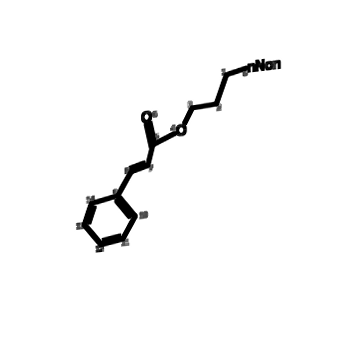 CCCCCCCCCCCCOC(=O)/C=C/c1ccccc1